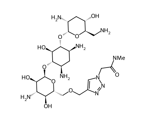 CNC(=O)Cn1cc(COC[C@H]2O[C@H](O[C@@H]3[C@@H](O)[C@H](O[C@H]4O[C@H](CN)[C@@H](O)C[C@H]4N)[C@@H](N)C[C@H]3N)[C@H](O)[C@@H](N)[C@@H]2O)nn1